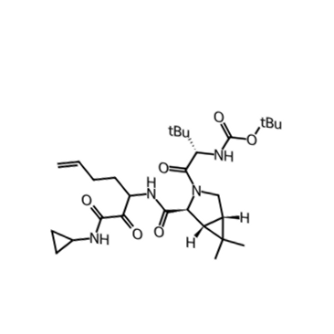 C=CCCC(NC(=O)[C@@H]1[C@@H]2[C@H](CN1C(=O)[C@@H](NC(=O)OC(C)(C)C)C(C)(C)C)C2(C)C)C(=O)C(=O)NC1CC1